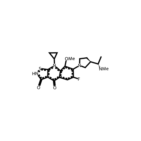 CN[C@@H](C)[C@@H]1CCN(c2c(F)cc3c(=O)c4c(=O)[nH]sc4n(C4CC4)c3c2OC)C1